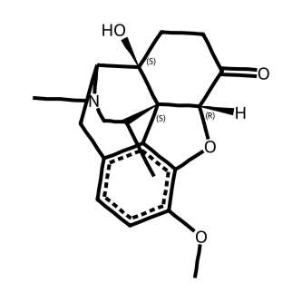 COc1ccc2c3c1O[C@H]1C(=O)CC[C@@]4(O)C(C2)N(C)CC(C)[C@]314